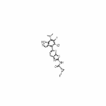 CN(C)c1c(F)c(Cl)c(-c2ccc3nc(NC(=O)C4CC4F)sc3n2)c2cn[nH]c12